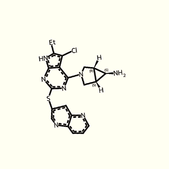 CCc1[nH]c2nc(Sc3cnc4cccnc4c3)nc(N3C[C@@H]4[C@@H](N)[C@@H]4C3)c2c1Cl